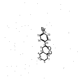 O=C(CC1CSCCC1=O)c1ccc(Br)cc1